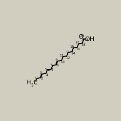 CCC=CCC=CCC=CCCCCCCCCCC(=O)O